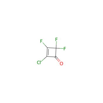 O=C1C(Cl)=C(F)C1(F)F